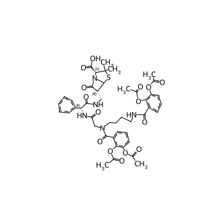 CC(=O)Oc1cccc(C(=O)NCCCCN(CC(=O)N[C@@H](C(=O)NC[C@@H]2C(=O)N3C2SC(C)(C)[C@@H]3C(=O)O)c2ccccc2)C(=O)c2cccc(OC(C)=O)c2OC(C)=O)c1OC(C)=O